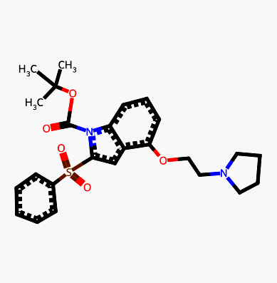 CC(C)(C)OC(=O)n1c(S(=O)(=O)c2ccccc2)cc2c(OCCN3CCCC3)cccc21